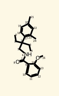 CCC(CC)(CNC(=O)c1ccccc1OC)c1ccc(C)cc1C